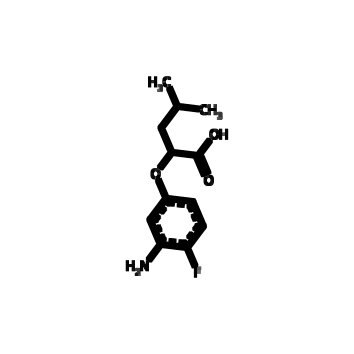 CC(C)CC(Oc1ccc(F)c(N)c1)C(=O)O